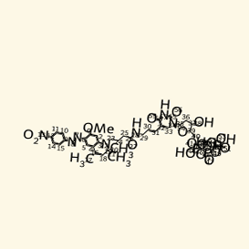 COc1cc2c(cc1/N=N/c1ccc([N+](=O)[O-])cc1)C(C)=CC(C)(C)N2CCCC(=O)NC/C=C/c1cn([C@H]2CC(O)[C@@H](COP(=O)(O)OP(=O)(O)OP(=O)(O)O)O2)c(=O)[nH]c1=O